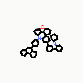 c1ccc(-n2c3ccccc3c3cccc(-c4cccc(N(c5ccc(-c6cc7ccccc7c7ccccc67)cc5)c5cccc6oc7ccccc7c56)c4)c32)cc1